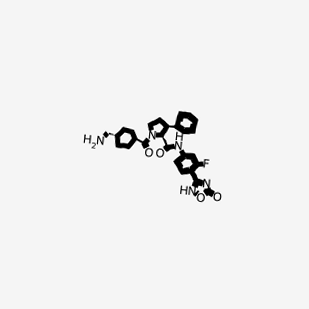 NC[C@H]1CC[C@H](C(=O)N2CC[C@@H](c3ccccc3)[C@H]2C(=O)Nc2ccc(-c3nc(=O)o[nH]3)c(F)c2)CC1